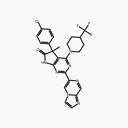 CC1(c2ccc(Cl)cc2)C(=O)Nc2nc(-c3cn4ccnc4cn3)nc(N3CCC(C(F)(F)F)CC3)c21